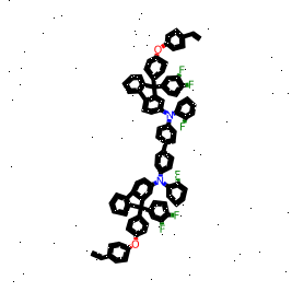 C=Cc1ccc(Oc2ccc(C3(c4ccc(F)c(F)c4)c4ccccc4-c4ccc(N(c5ccc(-c6ccc(N(c7ccc8c(c7)C(c7ccc(Oc9ccc(C=C)cc9)cc7)(c7ccc(F)c(F)c7)c7ccccc7-8)c7ccccc7F)cc6)cc5)c5ccccc5F)cc43)cc2)cc1